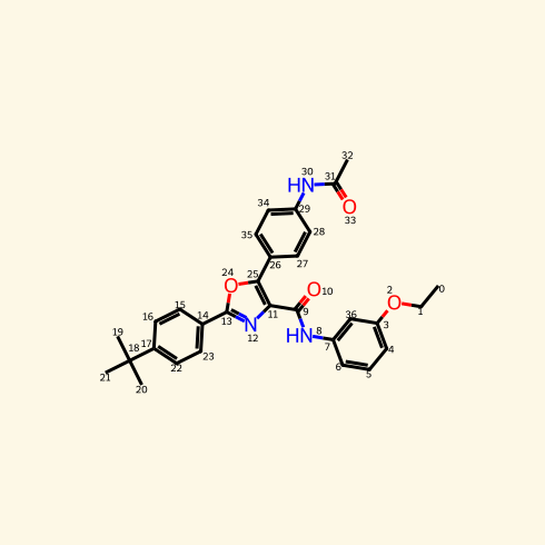 CCOc1cccc(NC(=O)c2nc(-c3ccc(C(C)(C)C)cc3)oc2-c2ccc(NC(C)=O)cc2)c1